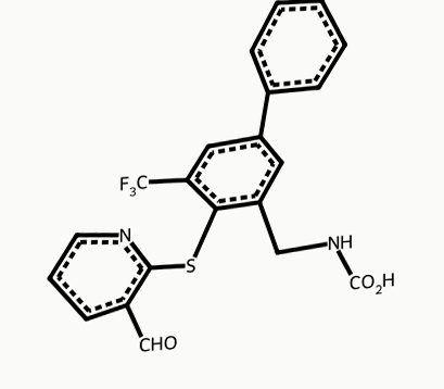 O=Cc1cccnc1Sc1c(CNC(=O)O)cc(-c2ccccc2)cc1C(F)(F)F